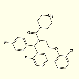 O=C(C1CCNCC1)N(CCOc1ccccc1Cl)C(c1ccc(F)cc1)c1ccccc1F